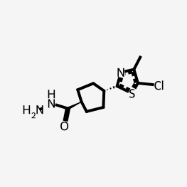 Cc1nc([C@H]2CC[C@H](C(=O)NN)CC2)sc1Cl